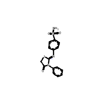 NS(=O)(=O)c1ccc(/N=C2\SCC(=O)N2c2ccccc2)cc1